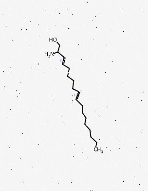 CCCCCCCC/C=C/CCCC/C=C/C(N)CO